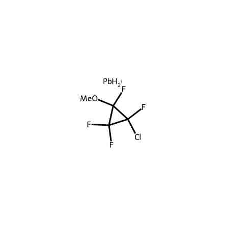 COC1(F)C(F)(F)C1(F)Cl.[PbH2]